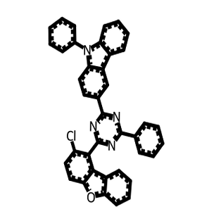 Clc1ccc2oc3ccccc3c2c1-c1nc(-c2ccccc2)nc(-c2ccc3c(c2)c2ccccc2n3-c2ccccc2)n1